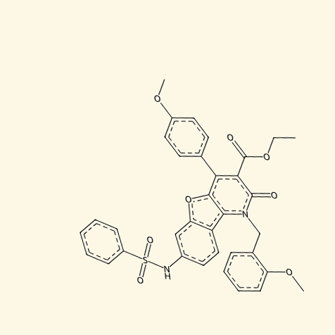 CCOC(=O)c1c(-c2ccc(OC)cc2)c2oc3cc(NS(=O)(=O)c4ccccc4)ccc3c2n(Cc2ccccc2OC)c1=O